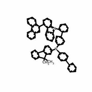 CC1(C)c2ccccc2-c2ccc(N(c3ccc(-c4ccccc4)cc3)c3ccc(-c4ccccc4-n4c5ccccc5c5c(-c6cc7ccccc7c7ccccc67)cccc54)cc3)cc21